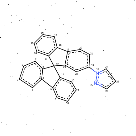 c1ccc2c(c1)-c1ccccc1C21c2ccccc2-c2ccc(-n3cccn3)cc21